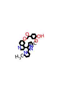 COc1cc(C(=O)COc2ccc3nccc(-c4c(-c5cccc(C)n5)nn5c4CCC5)c3c2)ccc1O